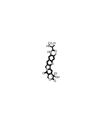 CC[C@@]1(O)C(=O)OCc2c1cc1n(c2=O)Cc2cc3cc(NC(=O)C(C)NC(=O)O)c(F)cc3nc2-1